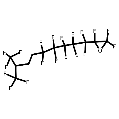 FC(F)(F)C(CCC(F)(F)C(F)(F)C(F)(F)C(F)(F)C(F)(F)C1(F)OC1(F)F)C(F)(F)F